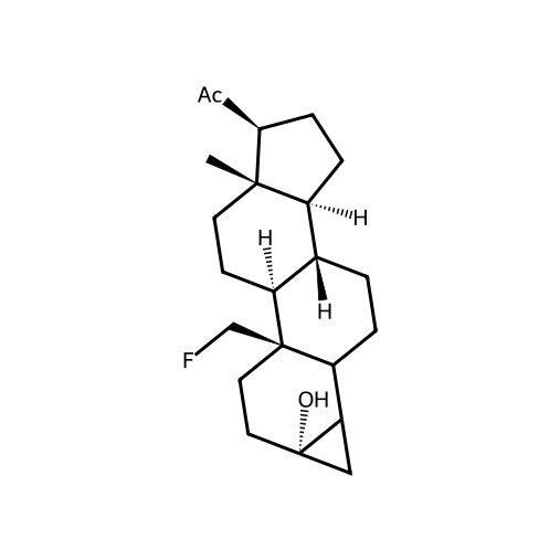 CC(=O)[C@H]1CC[C@H]2[C@@H]3CCC4C5C[C@@]5(O)CC[C@]4(CF)[C@H]3CC[C@]12C